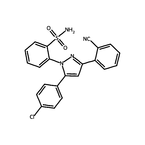 N#Cc1ccccc1-c1cc(-c2ccc(Cl)cc2)n(-c2ccccc2S(N)(=O)=O)n1